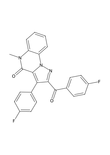 Cn1c(=O)c2c(-c3ccc(F)cc3)c(C(=O)c3ccc(F)cc3)nn2c2ccccc21